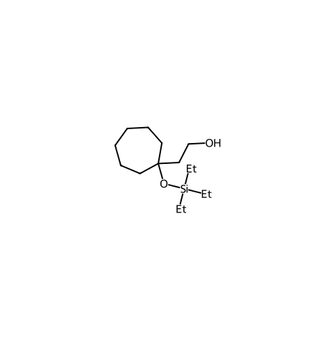 CC[Si](CC)(CC)OC1(CCO)CCCCCC1